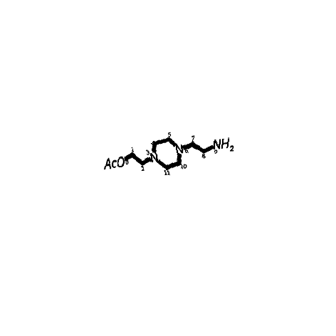 CC(=O)OCCN1CCN(CCN)CC1